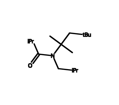 CC(C)CN(C(=O)C(C)C)C(C)(C)CC(C)(C)C